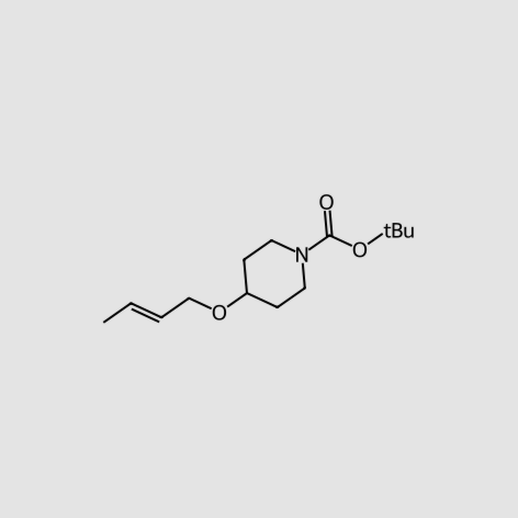 C/C=C/COC1CCN(C(=O)OC(C)(C)C)CC1